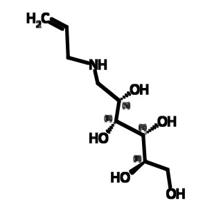 C=CCNC[C@H](O)[C@@H](O)[C@H](O)[C@H](O)CO